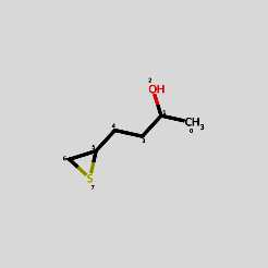 CC(O)CCC1CS1